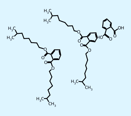 CC(C)CCCCCCOC(=O)c1ccccc1C(=O)OCCCCCCC(C)C.CC(C)CCCCCCOC(=O)c1ccccc1C(=O)OCCCCCCC(C)C.O=C(O)c1ccccc1C(=O)O